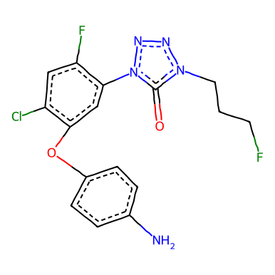 Nc1ccc(Oc2cc(-n3nnn(CCCF)c3=O)c(F)cc2Cl)cc1